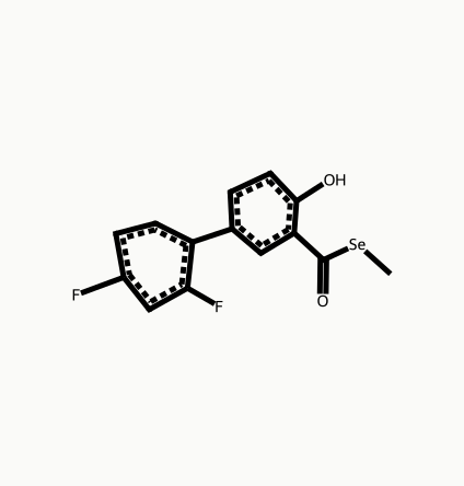 C[Se]C(=O)c1cc(-c2ccc(F)cc2F)ccc1O